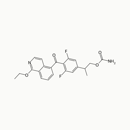 CCOc1nccc2c(C(=O)c3c(F)cc(C(C)COC(N)=O)cc3F)cccc12